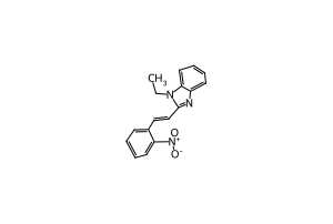 CCn1c(/C=C/c2ccccc2[N+](=O)[O-])nc2ccccc21